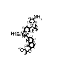 COCC(C)Oc1ccc2ccc(-c3nnc4ccc([C@@H](N5CCC(N)C5)C(F)(F)F)cn34)nc2c1F.Cl.Cl